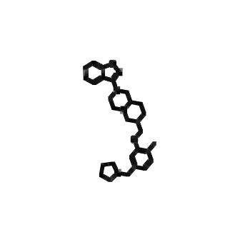 Cc1ccc(CN2CCCC2)cc1OCC1CCC2CN(c3noc4ccccc34)CCN2C1